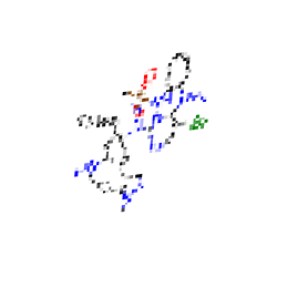 COc1cc2c(cc1Nc1ncc(Br)c(Nc3ccccc3NS(C)(=O)=O)n1)-c1cnn(C)c1CCN2